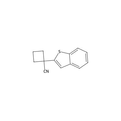 N#CC1(c2cc3ccccc3s2)CCC1